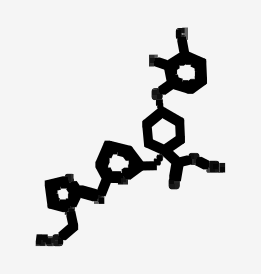 COCn1ccs/c1=N\c1cccc(C[C@]2(C(=O)OC(C)(C)C)CC[C@H](Oc3cccc(Cl)c3F)CC2)n1